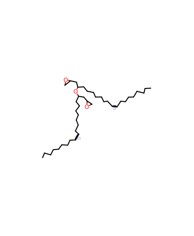 CCCCCCCC/C=C\CCCCCCCC(CC1CO1)OC(CCCCCCC/C=C\CCCCCCCC)CC1CO1